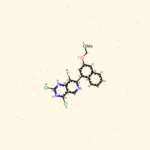 COCOc1cc(-c2ncc3c(Cl)nc(Cl)nc3c2F)c2ccccc2c1